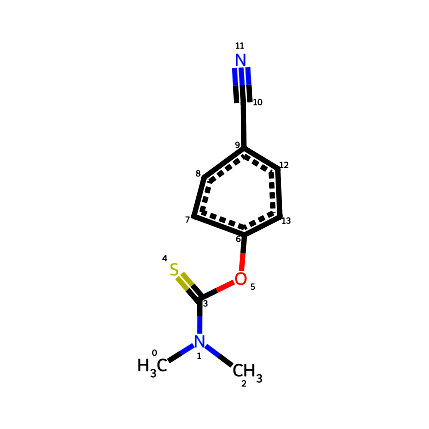 CN(C)C(=S)Oc1ccc(C#N)cc1